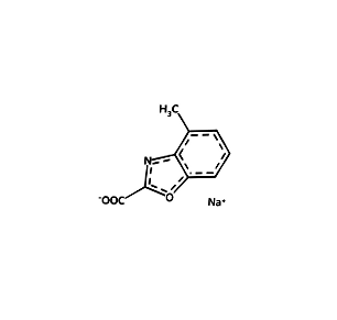 Cc1cccc2oc(C(=O)[O-])nc12.[Na+]